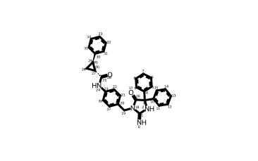 N=C1NC(c2ccccc2)(c2ccccc2)C(=O)N1Cc1ccc(NC(=O)[C@@H]2C[C@H]2c2ccccc2)cc1